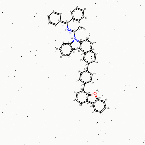 C/C(=N\C(=C1/C=C=CC=C1)c1ccccc1)n1c2ccccc2c2c3cc(-c4ccc(-c5cccc6c5oc5ccccc56)cc4)ccc3ccc21